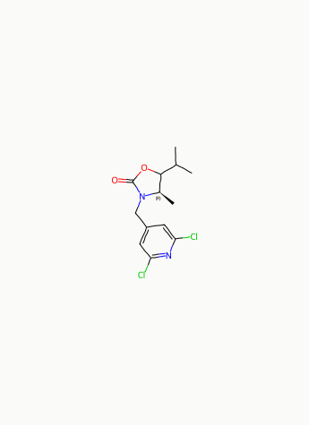 CC(C)C1OC(=O)N(Cc2cc(Cl)nc(Cl)c2)[C@@H]1C